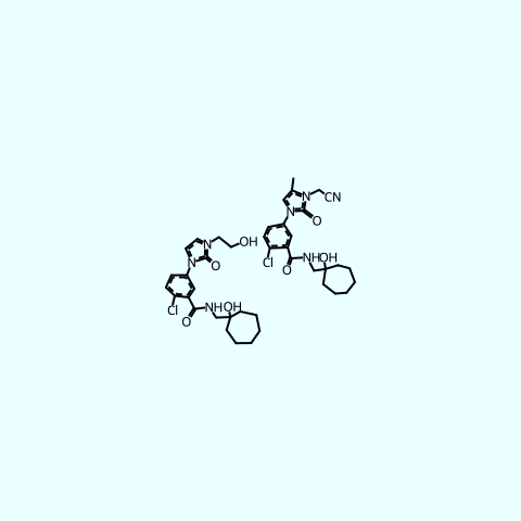 Cc1cn(-c2ccc(Cl)c(C(=O)NCC3(O)CCCCCC3)c2)c(=O)n1CC#N.O=C(NCC1(O)CCCCCC1)c1cc(-n2ccn(CCO)c2=O)ccc1Cl